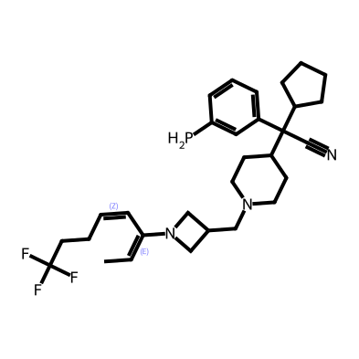 C/C=C(\C=C/CCC(F)(F)F)N1CC(CN2CCC(C(C#N)(c3cccc(P)c3)C3CCCC3)CC2)C1